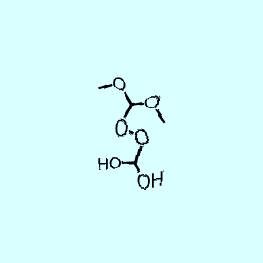 COC(OC)OOC(O)O